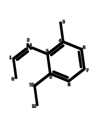 C/C=N\c1c(C)cccc1CC